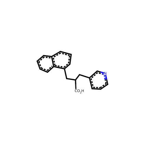 O=C(O)C(Cc1cccnc1)Cc1cccc2ccccc12